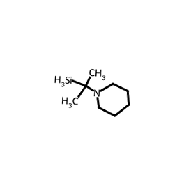 CC(C)([SiH3])N1CCCCC1